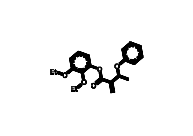 C=C(C(=O)Oc1cccc(OCC)c1OCC)C(C)Oc1ccccc1